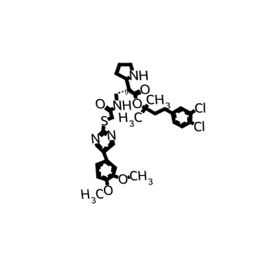 COc1ccc(-c2cnc(SCC(=O)NC[C@@H](C(=O)OC(C)(C)CCc3ccc(Cl)c(Cl)c3)C3CCCN3)nc2)cc1OC